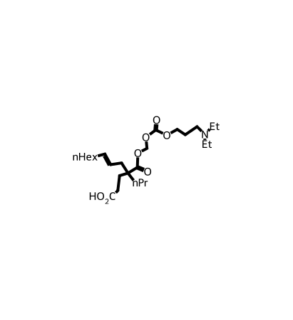 CCCCCCC=CCC(CCC)(CCC(=O)O)C(=O)OCOC(=O)OCCCN(CC)CC